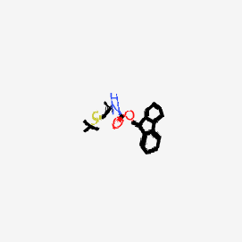 C[C@H](CSC(C)(C)C)NC(=O)OCC1c2ccccc2-c2ccccc21